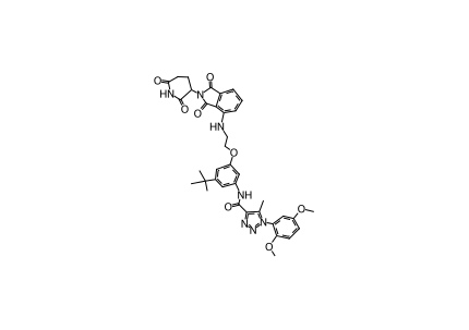 COc1ccc(OC)c(-n2nnc(C(=O)Nc3cc(OCCNc4cccc5c4C(=O)N(C4CCC(=O)NC4=O)C5=O)cc(C(C)(C)C)c3)c2C)c1